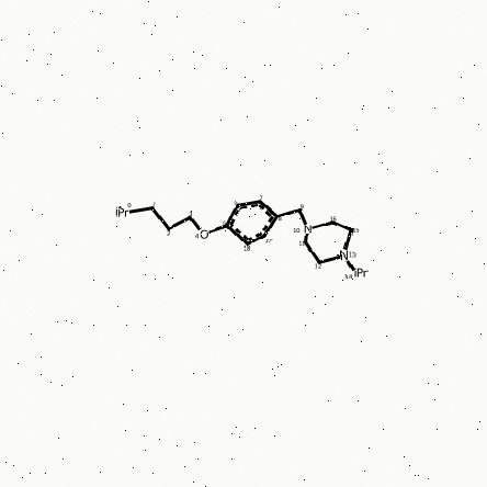 CC(C)CCCOc1ccc(CN2CCN(C(C)C)CC2)cc1